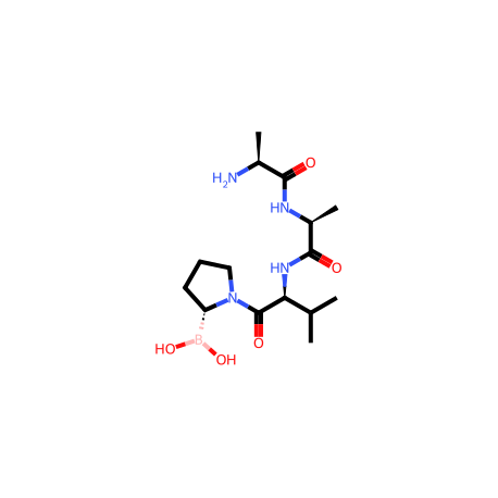 CC(C)[C@H](NC(=O)[C@H](C)NC(=O)[C@H](C)N)C(=O)N1CCC[C@H]1B(O)O